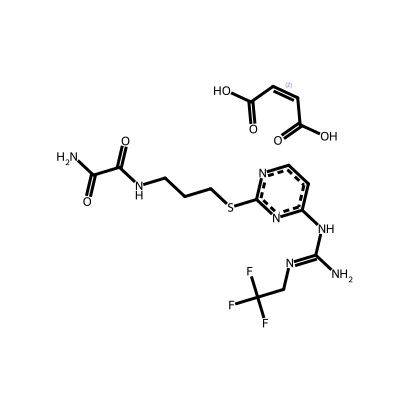 NC(=O)C(=O)NCCCSc1nccc(NC(N)=NCC(F)(F)F)n1.O=C(O)/C=C\C(=O)O